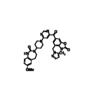 COc1ccc2c(c1)CCN(C1CCN(c3cc(C(=O)c4cc(Cn5cccn5)c5c(c4)oc(=O)n5C)ncn3)CC1)C(=O)N2